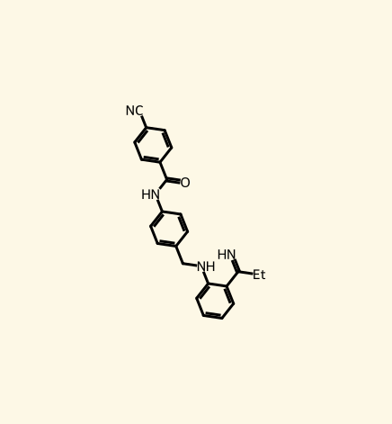 CCC(=N)c1ccccc1NCc1ccc(NC(=O)c2ccc(C#N)cc2)cc1